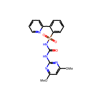 COc1cc(OC)nc(NC(=O)NS(=O)(=O)c2ccccc2-c2ccccn2)n1